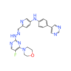 Fc1cnc(N/N=C/c2ccc(Nc3ccc(-c4cncnc4)cc3)cn2)nc1N1CCOCC1